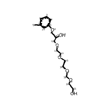 Cc1cccc(OCC(O)COCCOCCOCOCCO)c1